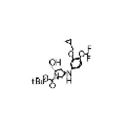 CC(C)(C)OC(=O)N1C[C@@H](Nc2ccc(OC(F)F)c(OCC3CC3)c2)C[C@H]1CO